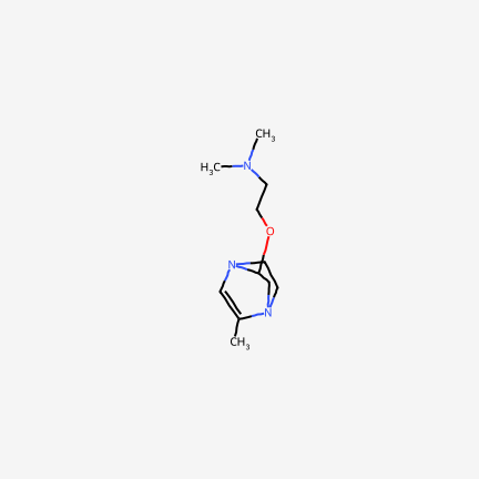 CC1=CN2CCN1CC2OCCN(C)C